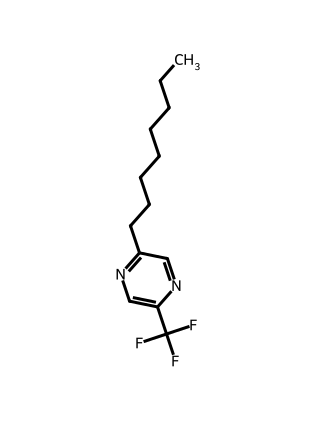 CCCCCCCCc1cnc(C(F)(F)F)cn1